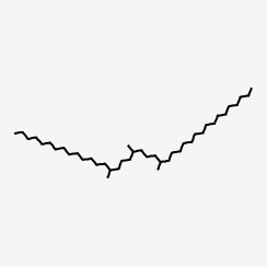 CCCCCCCCCCCCCCCCC(C)CCCC(C)CCCC(C)CCCCCCCCCCCCCC